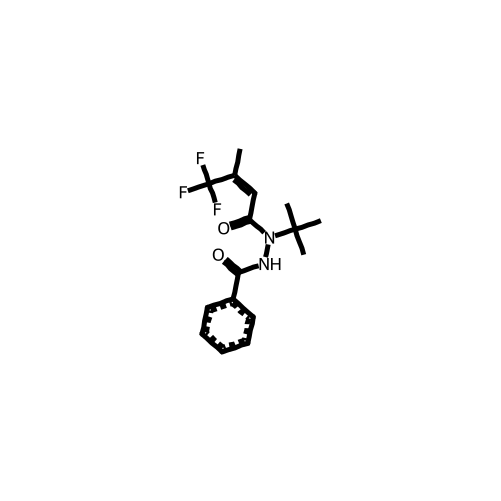 CC(=CC(=O)N(NC(=O)c1ccccc1)C(C)(C)C)C(F)(F)F